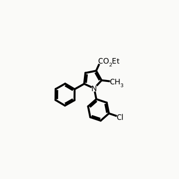 CCOC(=O)c1cc(-c2ccccc2)n(-c2cccc(Cl)c2)c1C